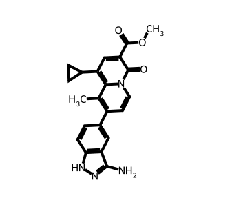 COC(=O)c1cc(C2CC2)c2c(C)c(-c3ccc4[nH]nc(N)c4c3)ccn2c1=O